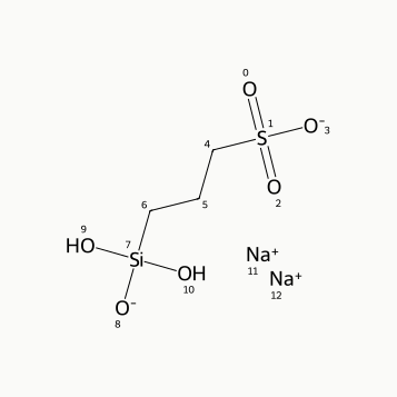 O=S(=O)([O-])CCC[Si]([O-])(O)O.[Na+].[Na+]